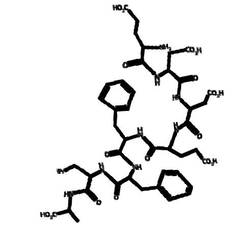 CC(C)CC(NC(=O)C(Cc1ccccc1)NC(=O)C(Cc1ccccc1)NC(=O)C(CCC(=O)O)NC(=O)C(CC(=O)O)NC(=O)C(CC(=O)O)NC(=O)C(N)CCC(=O)O)C(=O)NC(C)C(=O)O